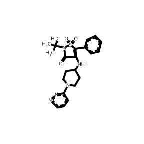 CC(C)(C)N1C(=O)C(NC2CCN(c3cccnn3)CC2)=C(c2ccccc2)S1(=O)=O